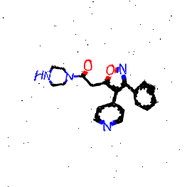 O=C(Cc1onc(-c2ccccc2)c1-c1ccncc1)N1CCNCC1